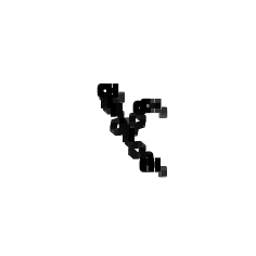 CCN1CCN(Cc2cccc(N(Cc3ccc(OC)cc3)Cc3ccc(OC)cc3)n2)CC1